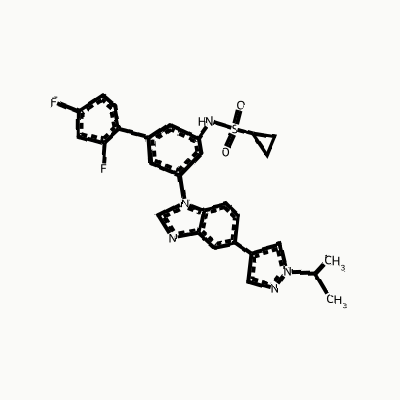 CC(C)n1cc(-c2ccc3c(c2)ncn3-c2cc(NS(=O)(=O)C3CC3)cc(-c3ccc(F)cc3F)c2)cn1